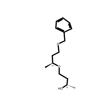 C[C@H](O)CCO[C@@H](C)CCOCc1ccccc1